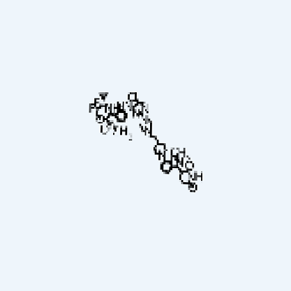 Cn1nc(C2CCC(=O)NC2=O)c2cccc(N3CCC(CCN4CCN(c5ncc(Cl)c(Nc6ccc7c(c6)c6c(c(=O)n7C)OCC(F)(F)[C@H](C7CC7)N6)n5)CC4)CC3)c21